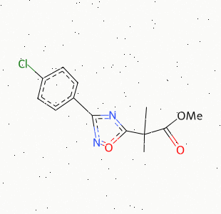 COC(=O)C(C)(C)c1nc(-c2ccc(Cl)cc2)no1